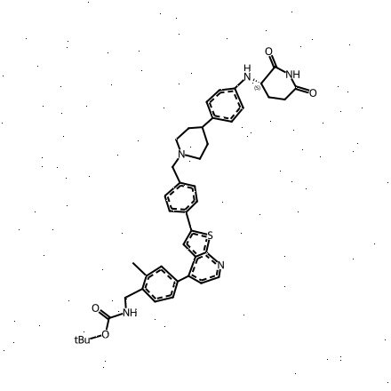 Cc1cc(-c2ccnc3sc(-c4ccc(CN5CCC(c6ccc(N[C@H]7CCC(=O)NC7=O)cc6)CC5)cc4)cc23)ccc1CNC(=O)OC(C)(C)C